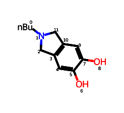 CCCCN1Cc2cc(O)c(O)cc2C1